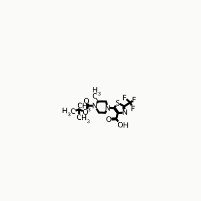 C[C@@H]1CN(c2sc(C(F)(F)F)nc2C(=O)O)CCN1C(=O)OC(C)(C)C